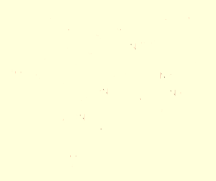 CS(=O)(=O)c1ccccc1-c1cc(N2CCOCC2)nc2c(-c3ccnn3C3CCCCO3)nccc12